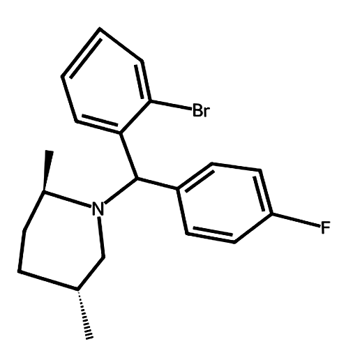 C[C@@H]1CC[C@@H](C)N(C(c2ccc(F)cc2)c2ccccc2Br)C1